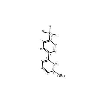 CC(C)(C)c1cccc(-c2ccc([Si](C)(C)C)cc2)c1